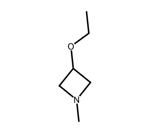 CCOC1CN(C)C1